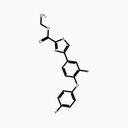 CCOC(=O)c1nc(-c2ccc(Oc3ccc(F)cc3)c(F)c2)cs1